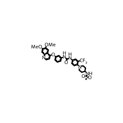 COc1cc2nccc(Oc3cccc(NC(=O)Nc4ccc(N5CCC(NS(C)(=O)=O)CC5)c(C(F)(F)F)c4)c3)c2cc1OC